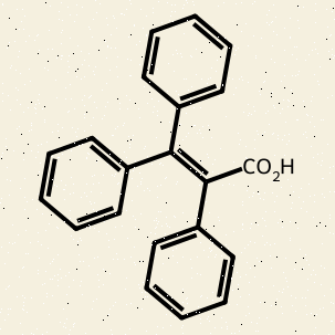 O=C(O)C(=C(c1ccccc1)c1ccccc1)c1ccccc1